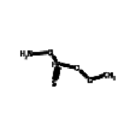 COO[PH](=S)ON